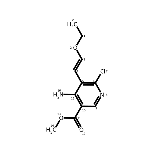 CCO/C=C/c1c(Cl)ncc(C(=O)OC)c1N